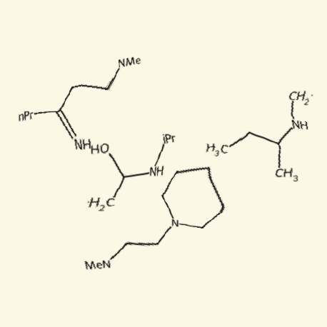 [CH2]C(O)NC(C)C.[CH2]NC(C)CC.[CH2]NCCC(=N)CCC.[CH2]NCCN1CCCCC1